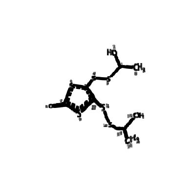 CC(O)SSc1sc(=O)sc1SSC(C)O